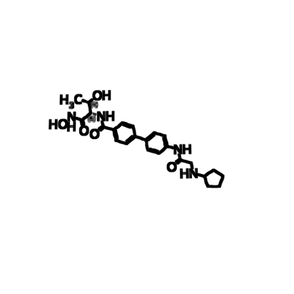 C[C@@H](O)[C@H](NC(=O)c1ccc(-c2ccc(NC(=O)CNC3CCCC3)cc2)cc1)C(=O)NO